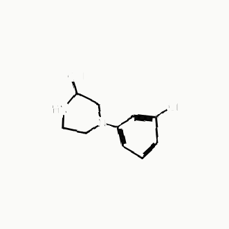 CC1CN(c2cccc(Cl)c2)CCN1